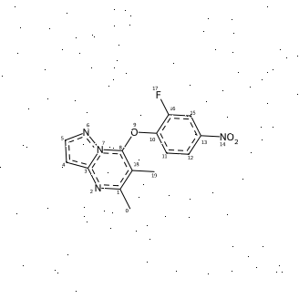 Cc1nc2ccnn2c(Oc2ccc([N+](=O)[O-])cc2F)c1C